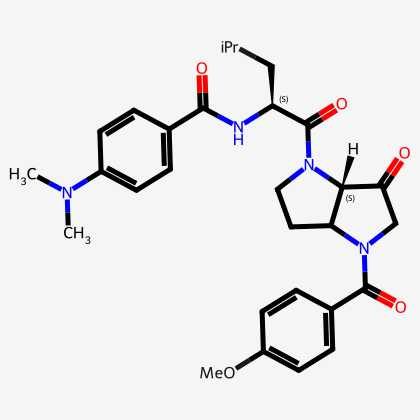 COc1ccc(C(=O)N2CC(=O)[C@@H]3C2CCN3C(=O)[C@H](CC(C)C)NC(=O)c2ccc(N(C)C)cc2)cc1